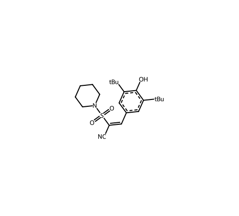 CC(C)(C)c1cc(C=C(C#N)S(=O)(=O)N2CCCCC2)cc(C(C)(C)C)c1O